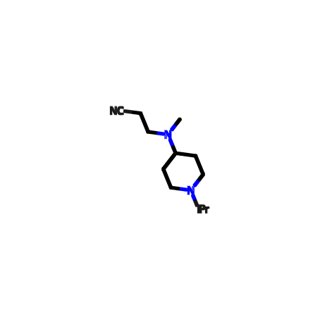 CC(C)N1CCC(N(C)CCC#N)CC1